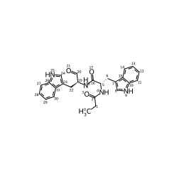 CCC(=O)N[C@@H](Cc1c[nH]c2ccccc12)C(=O)N[C@H](C=O)Cc1c[nH]c2ccccc12